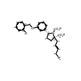 O=C(O)N1[C@@H](c2cccc(OCc3ccccc3F)c2)CC[C@@]1(CC=CCBr)C(=O)O